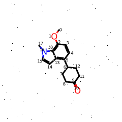 COc1ccc(C2CCC(=O)CC2)c2ccn(C)c12